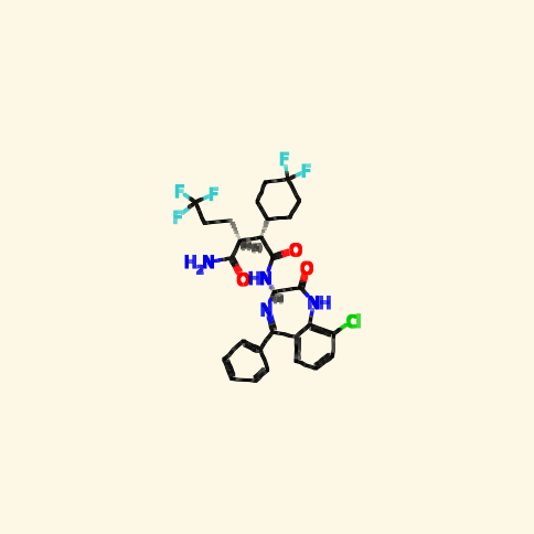 NC(=O)[C@H](CCC(F)(F)F)[C@@H](C(=O)N[C@H]1N=C(c2ccccc2)c2cccc(Cl)c2NC1=O)C1CCC(F)(F)CC1